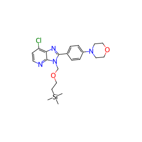 C[Si](C)(C)CCOCn1c(-c2ccc(N3CCOCC3)cc2)nc2c(Cl)ccnc21